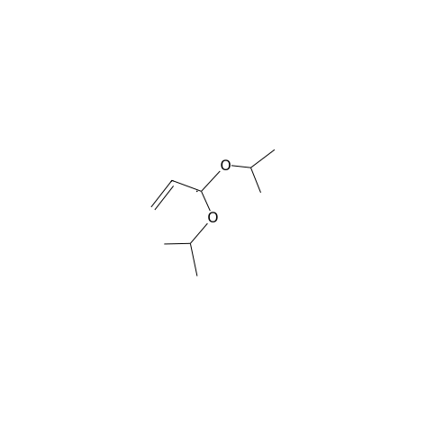 C=C[C](OC(C)C)OC(C)C